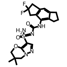 CC1(C)COc2c(S(N)(=O)=NC(=O)Nc3c4c(cc5c3CC(F)(F)C5)CCC4)cnn2C1